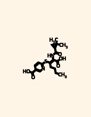 CCCC/C(Sc1ccc(C(=O)O)cn1)=C(/NC(=O)C1CC1(C)C)C(=O)O